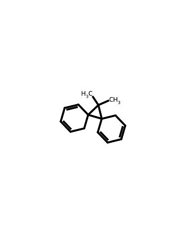 CC1(C)C2(C=CC=CC2)C12C=CC=CC2